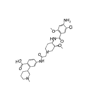 COc1cc(N)c(Cl)cc1C(=O)N[C@@H]1CCN(CC(=O)Nc2ccc(C(=O)O)c(C3CCCN(C)C3)c2)C[C@@H]1OC